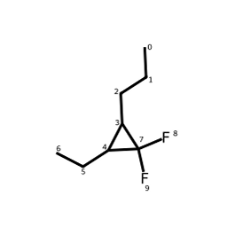 CCCC1C(CC)C1(F)F